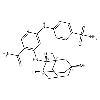 NC(=O)c1cnc(Nc2ccc(S(N)(=O)=O)cc2)cc1N[C@@H]1[C@@H]2CC3C[C@H]1C[C@@](O)(C3)C2